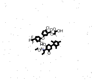 CCO/N=C(\CC)C1=C(O)CC(c2c(C)cc(C)cc2C)CC1=O.C[C@H](OC(=O)c1cc(Oc2ccc(C(F)(F)F)cc2Cl)ccc1Cl)C(=O)O